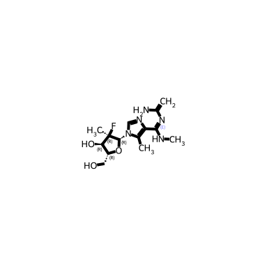 C=C(N)/N=C(/NC)c1ncn([C@@H]2O[C@H](CO)[C@@H](O)[C@@]2(C)F)c1C